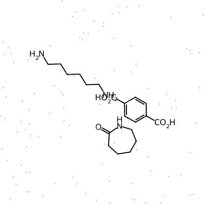 NCCCCCCN.O=C(O)c1ccc(C(=O)O)cc1.O=C1CCCCCN1